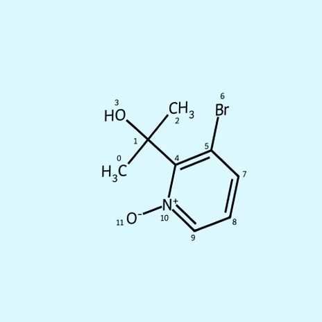 CC(C)(O)c1c(Br)ccc[n+]1[O-]